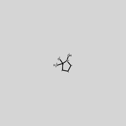 NC1(Cl)CCCN1O